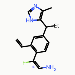 C=Cc1cc(C(CC)c2[nH]cnc2C)ccc1/C(F)=C\N